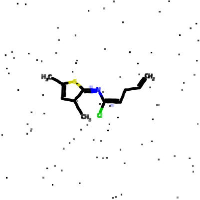 C=CC/C=C(Cl)\N=C1\SC(C)=CC1C